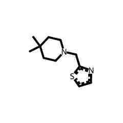 CC1(C)CCN(Cc2nccs2)CC1